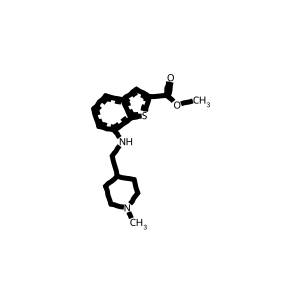 COC(=O)c1cc2cccc(NCC3CCN(C)CC3)c2s1